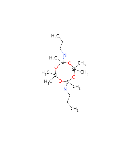 CCCN[Si]1(C)O[Si](C)(C)O[Si](C)(NCCC)O[Si](C)(C)O1